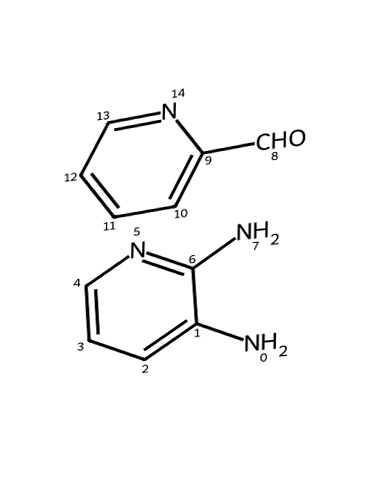 Nc1cccnc1N.O=Cc1ccccn1